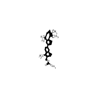 CC(=O)OCc1ccc2cc(-c3ccc4c(c3)C(C)(C)CCC4(C)C)ccc2c1C